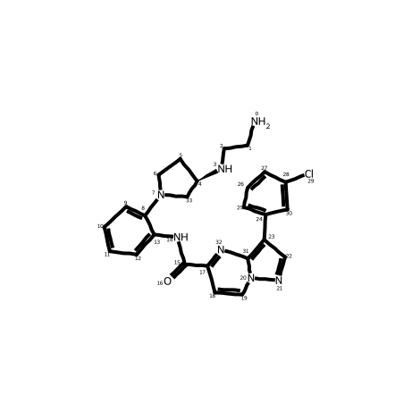 NCCN[C@@H]1CCN(c2ccccc2NC(=O)c2ccn3ncc(-c4cccc(Cl)c4)c3n2)C1